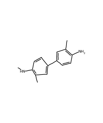 CNc1ccc(-c2ccc(N)c(C)c2)cc1C